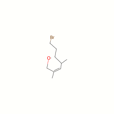 CC(=CC(C)CCCBr)C[O]